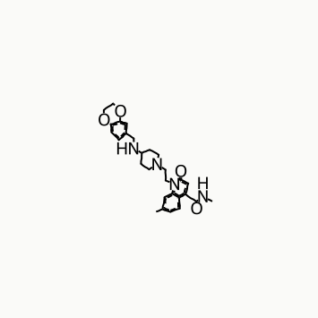 CNC(=O)c1cc(=O)n(CCN2CCC(NCc3ccc4c(c3)OCCO4)CC2)c2cc(C)ccc12